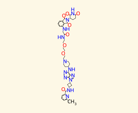 Cc1cccc(C(=O)NC2CC(n3cnc4c(NC5CCN(CCOCCOCCNC(=O)CNc6cccc7c6C(=O)N([C@H]6CCC(=O)NC6=O)C7=O)CC5)ncnc43)C2)n1